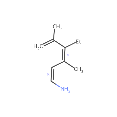 C=C(C)/C(CC)=C(C)\C=C/N